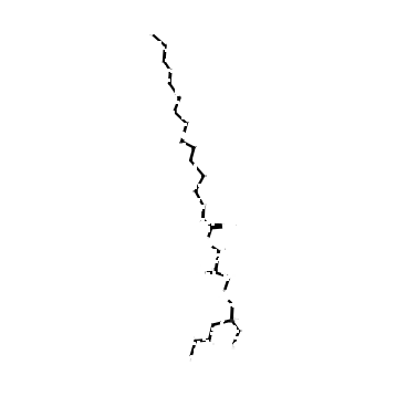 CCCCCCCCCCCCCCCC(=O)OCC(O)COCC(CC)CCCC